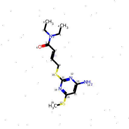 CCN(CC)C(=O)/C=C/CSc1nc(N)cc(SC)n1